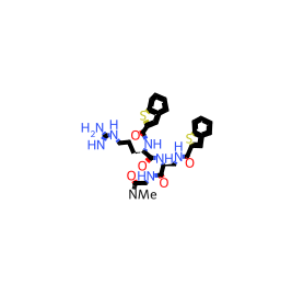 CNC(=O)CNC(=O)[C@H](CNC(=O)c1cc2ccccc2s1)NC(=O)[C@H](CCCNC(=N)N)NC(=O)c1cc2ccccc2s1